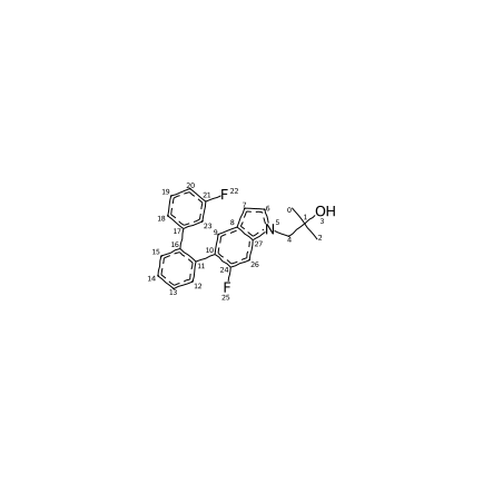 CC(C)(O)Cn1ccc2cc(-c3ccccc3-c3cccc(F)c3)c(F)cc21